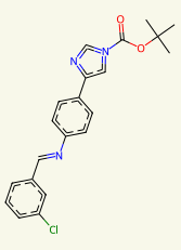 CC(C)(C)OC(=O)n1cnc(-c2ccc(N=Cc3cccc(Cl)c3)cc2)c1